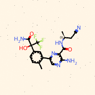 Cc1ccc(C(O)(C(N)=O)C(F)(F)F)cc1-c1cnc(N)c(C(=O)N[C@@H](C)CC#N)n1